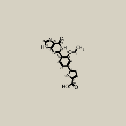 CCOc1cc(-c2ccc(C(=O)O)s2)ccc1-c1nc2[nH]cnc2c(=O)[nH]1